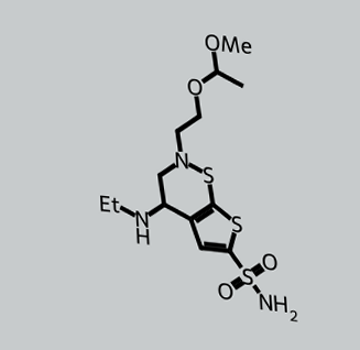 CCNC1CN(CCOC(C)OC)Sc2sc(S(N)(=O)=O)cc21